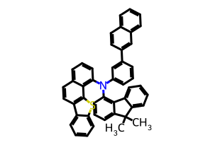 CC1(C)c2ccccc2-c2c(N(c3cccc(-c4ccc5ccccc5c4)c3)c3cccc4ccc5c6ccccc6sc5c34)cccc21